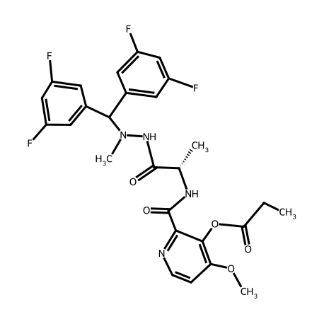 CCC(=O)Oc1c(OC)ccnc1C(=O)N[C@@H](C)C(=O)NN(C)C(c1cc(F)cc(F)c1)c1cc(F)cc(F)c1